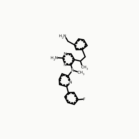 CC(Cc1cccc(CN)c1)c1cnc(N)nc1N(C)c1cccc(-c2cccc(F)c2)n1